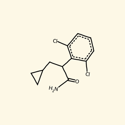 NC(=O)C(CC1CC1)c1c(Cl)cccc1Cl